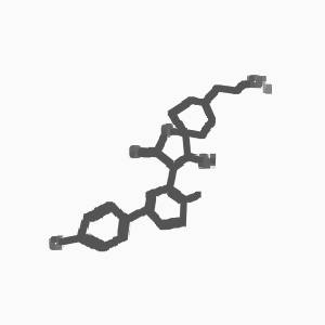 Cc1ccc(-c2ccc(Cl)cc2)cc1C1C(=O)OC2(CCC(CCC(F)(F)F)CC2)C1O